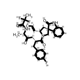 CCOC(=O)/C=C/[C@@H]1C[C@@]2(CN1C(=O)[C@@H](CC(=O)[C@H](C)NC(=O)C(C)(F)F)Cc1ccc(F)cc1)C(=O)Nc1ccccc12